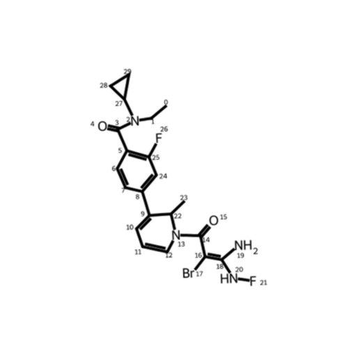 CCN(C(=O)c1ccc(C2=CC=CN(C(=O)/C(Br)=C(\N)NF)C2C)cc1F)C1CC1